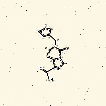 NC(=O)c1ncn2c(=O)n(Cc3ccsc3)nnc12